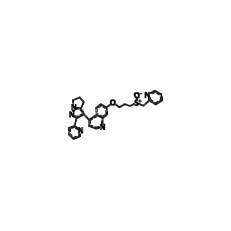 [O-][S+](CCCOc1ccc2c(-c3c(-c4ccccn4)nn4c3CCC4)ccnc2c1)Cc1ccccn1